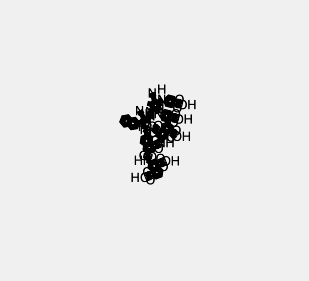 Cc1c(C#N)c(Nc2ccc(S(=O)(=O)O)cc2)nc(Nc2ccc(S(=O)(=O)O)cc2)c1/N=N/C1SC(/N=N/c2ccc3cc(S(=O)(=O)Nc4cc(S(=O)(=O)O)c5cccc(S(=O)(=O)O)c5c4)cc(S(=O)(=O)Nc4cc(S(=O)(=O)O)c5cccc(S(=O)(=O)O)c5c4)c3c2)=C(c2ccc3ccccc3c2)C1C#N